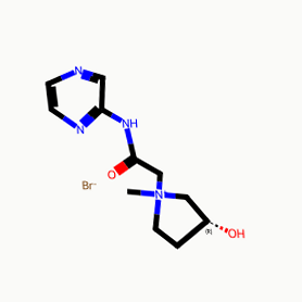 C[N+]1(CC(=O)Nc2cnccn2)CC[C@@H](O)C1.[Br-]